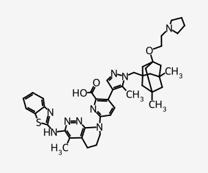 Cc1c(Nc2nc3ccccc3s2)nnc2c1CCCN2c1ccc(-c2cnn(CC34CC5(C)CC(C)(C3)CC(OCCN3CCCC3)(C5)C4)c2C)c(C(=O)O)n1